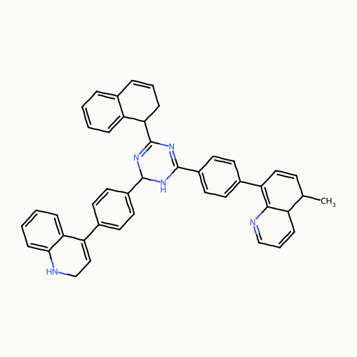 CC1C=CC(c2ccc(C3=NC(C4CC=Cc5ccccc54)=NC(c4ccc(C5=CCNc6ccccc65)cc4)N3)cc2)=C2N=CC=CC21